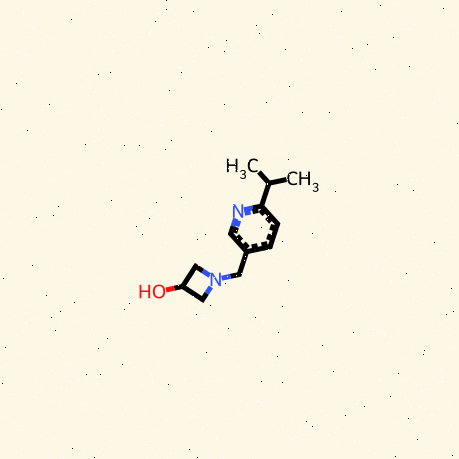 CC(C)c1ccc(CN2CC(O)C2)cn1